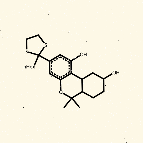 CCCCCCC1(c2cc(O)c3c(c2)OC(C)(C)C2CCC(O)CC32)SCCS1